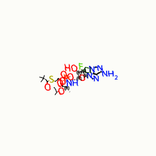 CC(C)OC(=O)[C@@H](C)NP(=O)(OCCSC(=O)C(C)(C)C)OC[C@H]1O[C@@H](n2cnc3c(N)ncnc32)[C@@](F)(Cl)[C@@H]1O